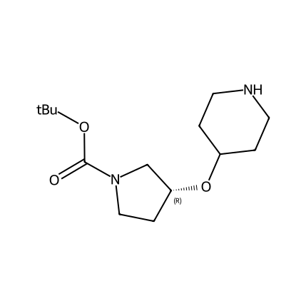 CC(C)(C)OC(=O)N1CC[C@@H](OC2CCNCC2)C1